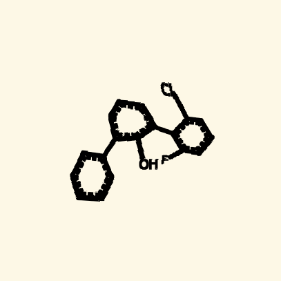 Oc1c(-c2ccccc2)cccc1-c1c(F)cccc1Cl